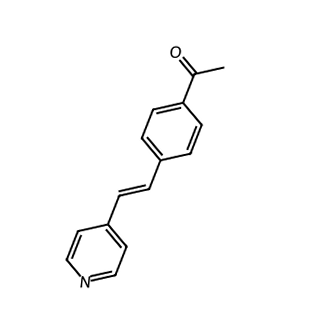 CC(=O)c1ccc(C=Cc2ccncc2)cc1